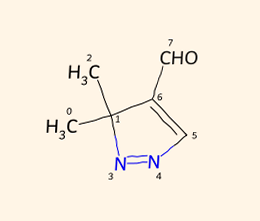 CC1(C)N=NC=C1C=O